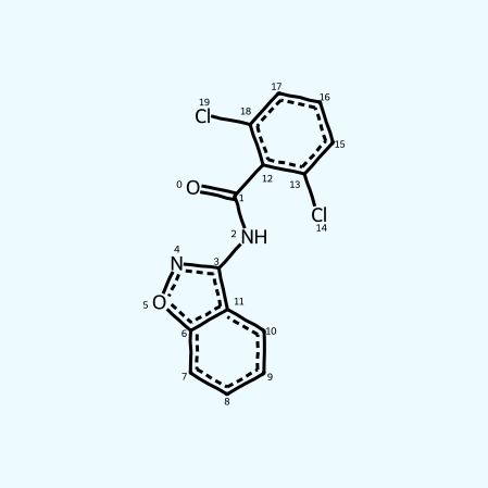 O=C(Nc1noc2ccccc12)c1c(Cl)cccc1Cl